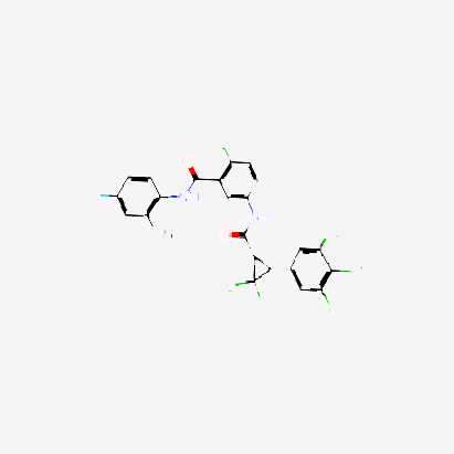 N#Cc1cc(F)ccc1NC(=O)c1cc(NC(=O)[C@H]2[C@H](c3cc(Cl)c(Cl)c(Cl)c3)C2(Cl)Cl)ccc1Cl